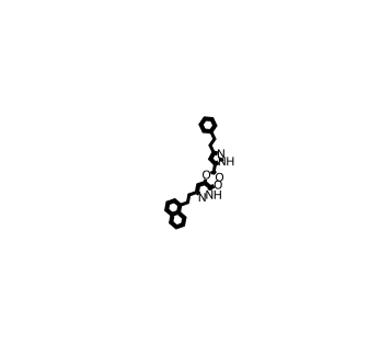 O=C(Oc1cc(CCc2cccc3ccccc23)n[nH]c1=O)c1cc(CCc2ccccc2)n[nH]1